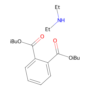 CC(C)COC(=O)c1ccccc1C(=O)OCC(C)C.CCNCC